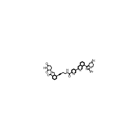 CC(=O)N1CCn2c(C(C)C)nc(-c3cccc4cc(-c5ccc(C(=O)NCCC#Cc6cccc7c6CN(C6CCC(=O)NC6=O)C7=O)nc5)ncc34)c2C1